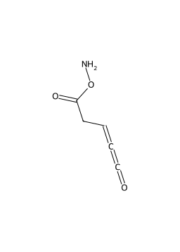 NOC(=O)CC=C=C=O